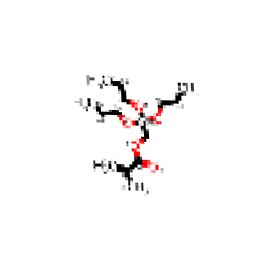 C=C(C)C(=O)OC[Si](OCCC)(OCCC)OCCC